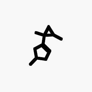 CC1CC=C(C2(C)CC2C)C1